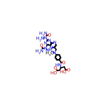 CN(Cc1cnc2nc(N(N)C(N)=O)nc(N(N)C(N)=O)c2n1)c1ccc(C(=O)NC(CC(=O)O)CC(=O)O)cc1